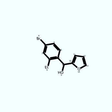 CCc1cc(Br)ccc1C(O)c1ccco1